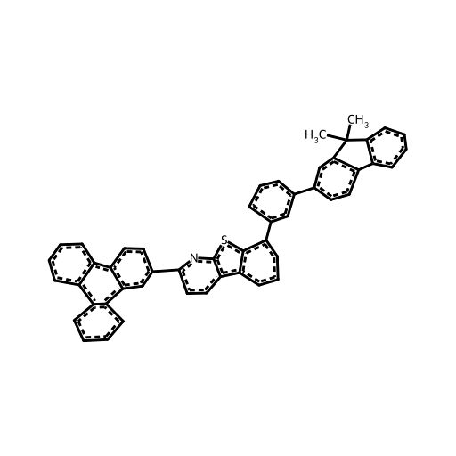 CC1(C)c2ccccc2-c2ccc(-c3cccc(-c4cccc5c4sc4nc(-c6ccc7c8ccccc8c8ccccc8c7c6)ccc45)c3)cc21